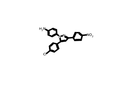 Nc1ccc(-n2nc(-c3ccc([N+](=O)[O-])cc3)cc2-c2ccc(Cl)cc2)cc1